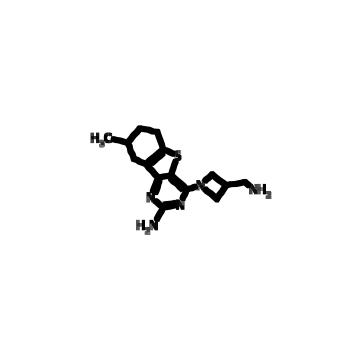 CC1CCc2sc3c(N4CC(CN)C4)nc(N)nc3c2C1